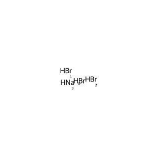 Br.Br.Br.[NaH]